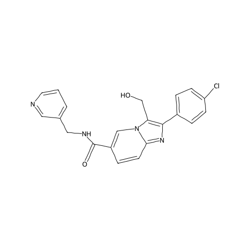 O=C(NCc1cccnc1)c1ccc2nc(-c3ccc(Cl)cc3)c(CO)n2c1